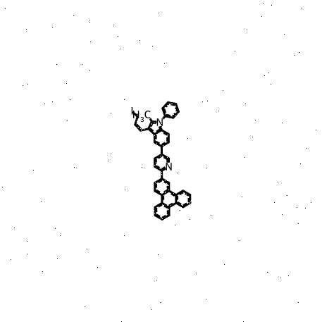 Cc1c(/C=C\CI)c2cc(-c3ccc(-c4ccc5c6ccccc6c6ccccc6c5c4)nc3)ccc2n1-c1ccccc1